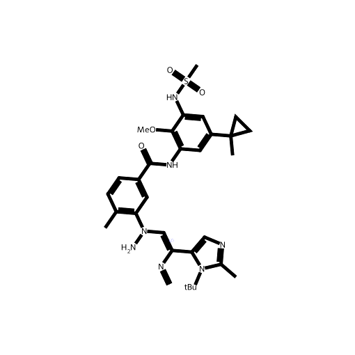 C=N/C(=C\N(N)c1cc(C(=O)Nc2cc(C3(C)CC3)cc(NS(C)(=O)=O)c2OC)ccc1C)c1cnc(C)n1C(C)(C)C